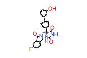 O=C1NC(=O)[C@](CN2Cc3ccc(F)cc3C2=O)(c2ccc(-c3cccc(O)c3)cc2)N1